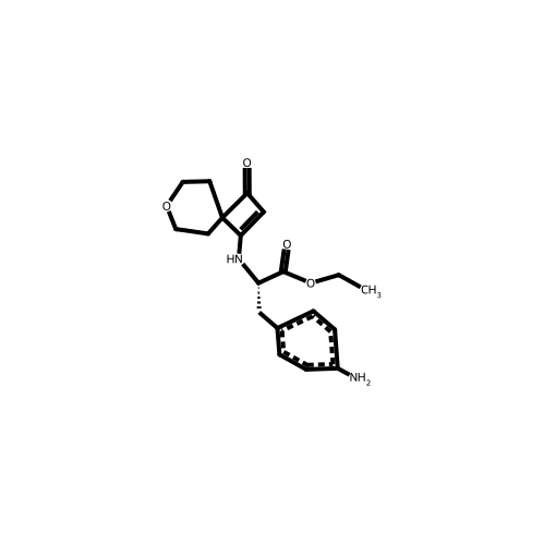 CCOC(=O)[C@H](Cc1ccc(N)cc1)NC1=CC(=O)C12CCOCC2